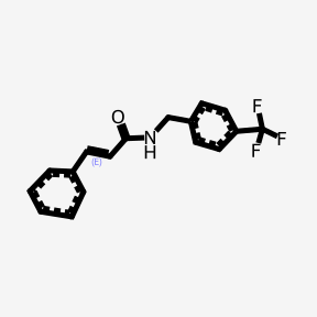 O=C(/C=C/c1ccccc1)NCc1ccc(C(F)(F)F)cc1